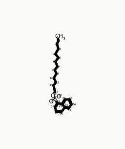 CCCCCCCCCCCCCCOS(=O)(=O)c1cccc2ccccc12